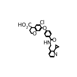 O=C(NCCc1cccnc1C1CC1)c1ccc(Oc2cc3c(cc2Cl)C(C(=O)O)CCO3)cc1